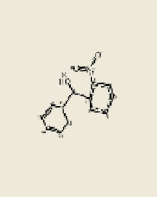 O=[N+]([O-])c1ccccc1C(O)C1C=CC=CC1